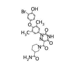 Cc1cc(-n2nc(C(=O)N3CCCC(C(N)=O)C3)c(=O)[nH]c2=O)cc(C)c1Oc1ccc(O)c(Br)c1